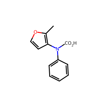 Cc1occc1N(C(=O)O)c1ccccc1